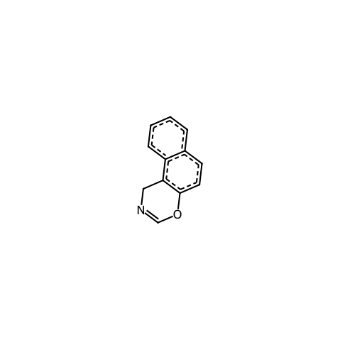 C1=NCc2c(ccc3ccccc23)O1